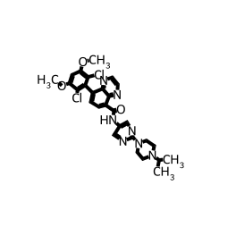 COc1cc(OC)c(Cl)c(-c2ccc(C(=O)Nc3cnc(N4CCN(C(C)C)CC4)nc3)c3nccnc23)c1Cl